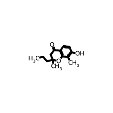 CCCC1(C)CC(=O)c2ccc(O)c(C)c2O1